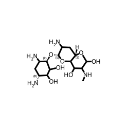 CNC1C(O)O[C@H]2CC(N)[C@@H](O[C@@H]3C(N)C[C@@H](N)C(O)C3O)OC2C1O